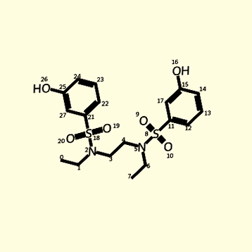 CCN(CCN(CC)S(=O)(=O)c1cccc(O)c1)S(=O)(=O)c1cccc(O)c1